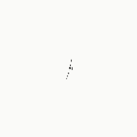 C[As](C)(C)C